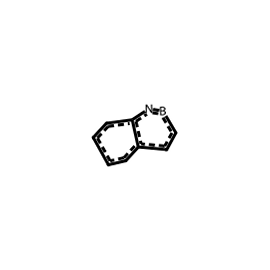 b1ccc2ccccc2n1